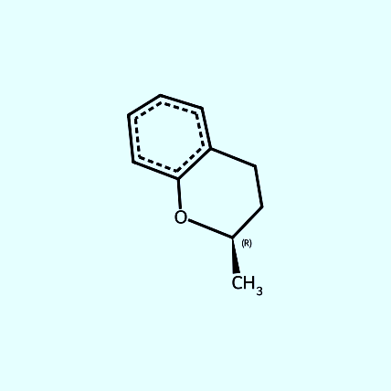 C[C@@H]1CCc2ccccc2O1